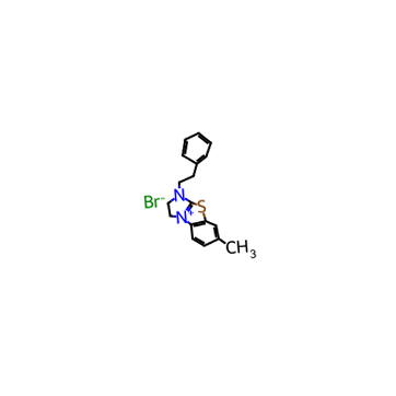 Cc1ccc2c(c1)sc1[n+]2CCN1CCc1ccccc1.[Br-]